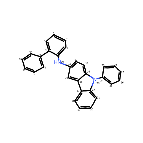 c1ccc(-c2ccccc2Nc2ccc3c(c2)c2ccccc2n3-c2ccccc2)cc1